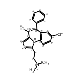 CN(C)CCc1nnc(CO)n1-c1ccc(Cl)cc1C(=O)c1ccccc1